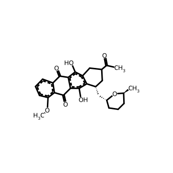 COc1cccc2c1C(=O)c1c(O)c3c(c(O)c1C2=O)CC(C(C)=O)C[C@@H]3C[C@H]1CCC[C@H](C)O1